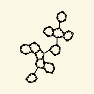 c1ccc(-c2c3ccccc3c(-c3cccc(-n4c5ccc6ccccc6c5c5cc(-c6ccccc6)c6ccccc6c54)c3)c3ccccc23)cc1